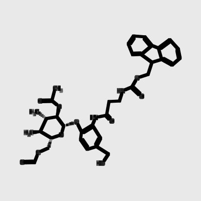 CC(=O)O[C@H]1[C@H](Oc2ccc(CO)cc2NC(=O)CCNC(=O)OCC2c3ccccc3-c3ccccc32)O[C@H](COC=O)[C@@H](C)[C@@H]1C